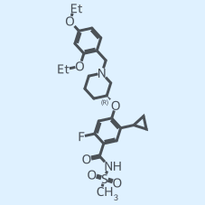 CCOc1ccc(CN2CCC[C@@H](Oc3cc(F)c(C(=O)NS(C)(=O)=O)cc3C3CC3)C2)c(OCC)c1